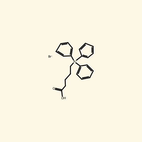 O=C(O)CCCC[P+](c1ccccc1)(c1ccccc1)c1ccccc1.[Br-]